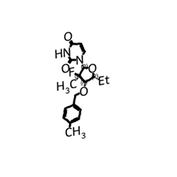 CC[C@H]1O[C@@H](n2ccc(=O)[nH]c2=O)[C@](C)(F)[C@@H]1OCc1ccc(C)cc1